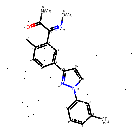 CNC(=O)/C(=N\OC)c1cc(-c2ccn(-c3cccc(C(F)(F)F)c3)n2)ccc1C